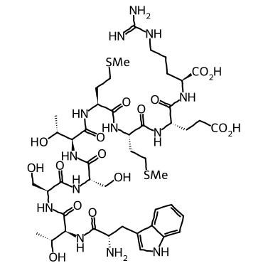 CSCC[C@H](NC(=O)[C@H](CCSC)NC(=O)[C@@H](NC(=O)[C@H](CO)NC(=O)[C@H](CO)NC(=O)[C@@H](NC(=O)[C@@H](N)Cc1c[nH]c2ccccc12)[C@@H](C)O)[C@@H](C)O)C(=O)N[C@@H](CCC(=O)O)C(=O)N[C@@H](CCCNC(=N)N)C(=O)O